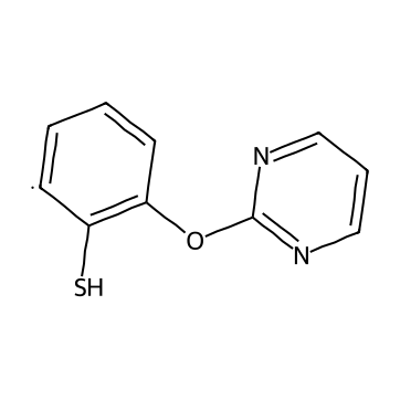 Sc1[c]cccc1Oc1ncccn1